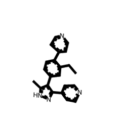 CCc1cc(-c2c(-c3ccncc3)n[nH]c2C)ccc1-c1ccncc1